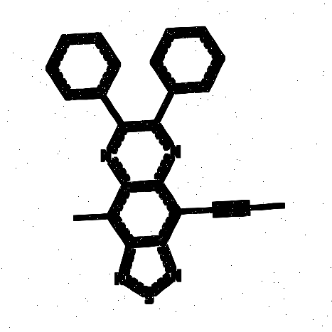 CC#Cc1c2nsnc2c(C)c2nc(-c3ccccc3)c(-c3ccccc3)nc12